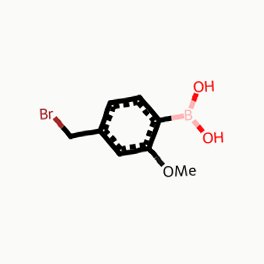 COc1cc(CBr)ccc1B(O)O